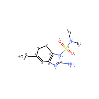 CCN(CC)S(=O)(=O)n1c(N)nc2c1CCC(C(=O)O)=C2